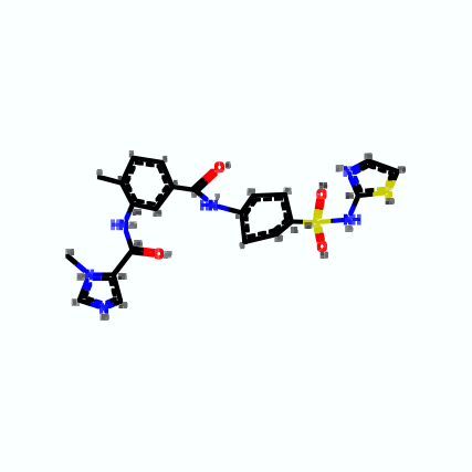 Cc1ccc(C(=O)Nc2ccc(S(=O)(=O)Nc3nccs3)cc2)cc1NC(=O)c1cncn1C